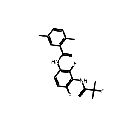 C=C(Nc1ccc(F)c(NC(=C)C(C)(C)F)c1F)c1cc(C)ccc1C